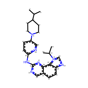 CC(C)C1CCN(c2ccc(Nc3ncc4ccc5ncn(C(C)C)c5c4n3)nc2)CC1